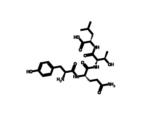 CC(C)C[C@H](NC(=O)[C@@H](NC(=O)[C@H](CCC(N)=O)NC(=O)[C@@H](N)Cc1ccc(O)cc1)[C@@H](C)O)C(=O)O